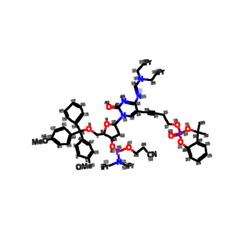 COc1ccc(C(OCC2OC(n3cc(C#CCCOP4(=O)Oc5ccccc5C(C)(C)O4)c(/N=C/N(CC(C)C)CC(C)C)nc3=O)CC2OP(OCCC#N)N(C(C)C)C(C)C)(c2ccccc2)c2ccc(OC)cc2)cc1